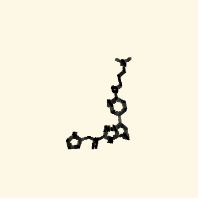 CN(C)CCCOc1ccc(-c2cnc3sc(NCc4cccs4)nn23)cn1